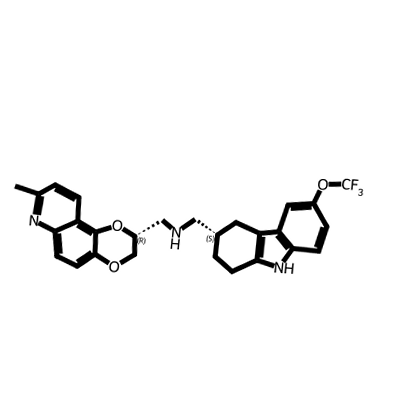 Cc1ccc2c3c(ccc2n1)OC[C@@H](CNC[C@H]1CCc2[nH]c4ccc(OC(F)(F)F)cc4c2C1)O3